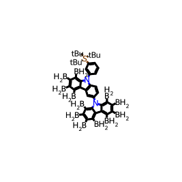 Bc1c(B)c(B)c2c(c1B)c1cc(-n3c4c(B)c(B)c(B)c(B)c4c4c(B)c(B)c(B)c(B)c43)ccc1n2-c1cccc(S(C(C)(C)C)(C(C)(C)C)C(C)(C)C)c1